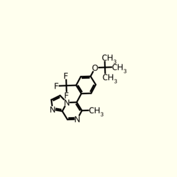 Cc1ncc2nccn2c1-c1ccc(OC(C)(C)C)cc1C(F)(F)F